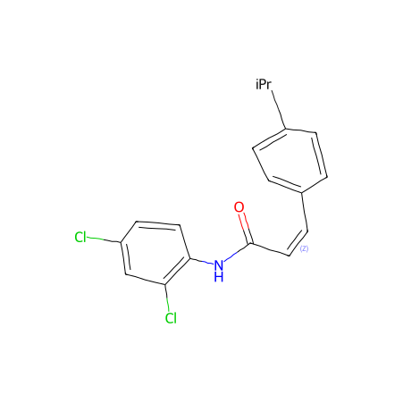 CC(C)c1ccc(/C=C\C(=O)Nc2ccc(Cl)cc2Cl)cc1